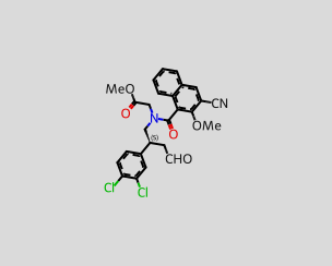 COC(=O)CN(C[C@@H](CC=O)c1ccc(Cl)c(Cl)c1)C(=O)c1c(OC)c(C#N)cc2ccccc12